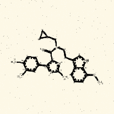 COc1cccc2c(CCN(CC3CC3)C(=O)c3nc(C)sc3-c3ccc(C)c(C)c3)c[nH]c12